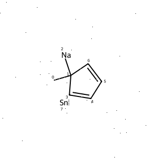 C[C]1([Na])C=CC=C1.[Sn]